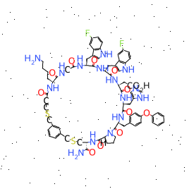 NCCCC[C@@H]1NC(=O)CCSCc2cccc(c2)CSC[C@@H](C(N)=O)NC(=O)[C@@H]2CCCN2C(=O)[C@H](Cc2ccc(Oc3ccccc3)cc2)NC(=O)[C@H](Cc2cnc[nH]2)NC(=O)[C@H](CC(=O)O)NC(=O)[C@H](Cc2c[nH]c3ccc(F)cc23)NC(=O)[C@H](Cc2c[nH]c3ccc(F)cc23)NC(=O)CNC1=O